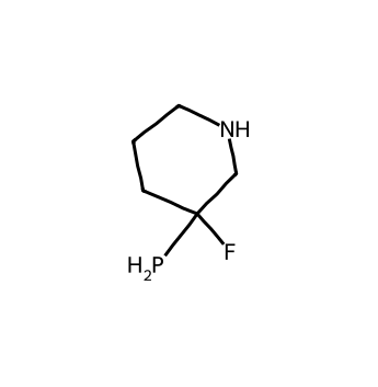 FC1(P)CCCNC1